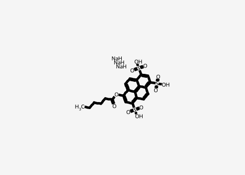 CCCCCC(=O)Oc1cc(S(=O)(=O)O)c2ccc3c(S(=O)(=O)O)cc(S(=O)(=O)O)c4ccc1c2c43.[NaH].[NaH].[NaH]